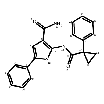 NC(=O)c1cc(-c2ccccc2)sc1NC(=O)C1(c2ccccc2)CC1